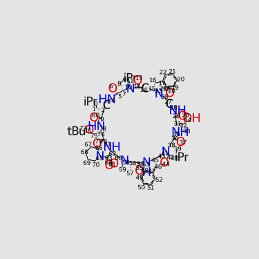 CC(C)C[C@@H]1CNC(=O)[C@H](CC(C)C)N(C)C(=O)C[C@H](Cc2ccccc2)N(C)C(=O)CNC(=O)[C@H]([C@@H](C)O)NC(=O)[C@H](CC(C)C)N(C)C(=O)[C@H](Cc2ccccc2)NC(=O)[C@H](C)N(C)C(=O)[C@@H](C(=O)N2CCCCC2)NC(=O)[C@H](COC(C)(C)C)NC1=O